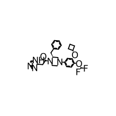 O=C(Cc1nnc[nH]1)N1CCN(c2ccc(OC(F)F)c(OC3CCC3)c2)C[C@@H]1Cc1ccccc1